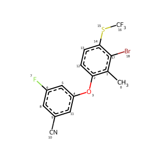 Cc1c(Oc2cc(F)cc(C#N)c2)ccc(SC(F)(F)F)c1Br